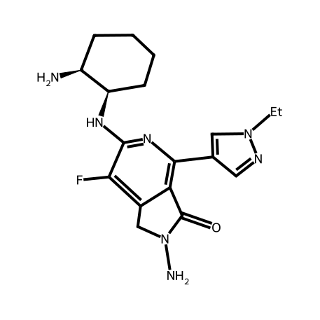 CCn1cc(-c2nc(N[C@@H]3CCCC[C@@H]3N)c(F)c3c2C(=O)N(N)C3)cn1